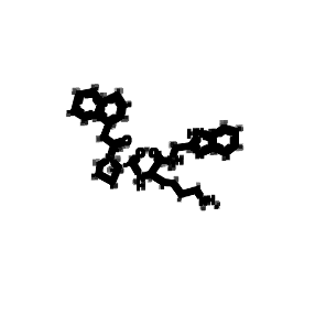 NCCCCC(NC(=O)[C@@H]1CCCN1C(=O)Cc1cccc2ccccc12)C(=O)NCc1nc2ccccc2[nH]1